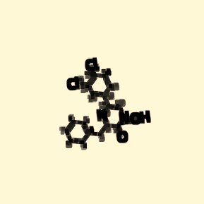 O=c1c(Cc2ccccc2)nc(-c2ccc(Cl)c(Cl)c2)cn1O